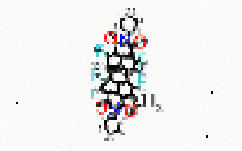 Cc1c2c3c(c(F)c(F)c4c5c(F)c(F)c6c7c(c(F)c(F)c(c(c1F)c34)c75)C(=O)N(C1CCCCC1)C6=O)C(=O)N(C1CCCCC1)C2=O